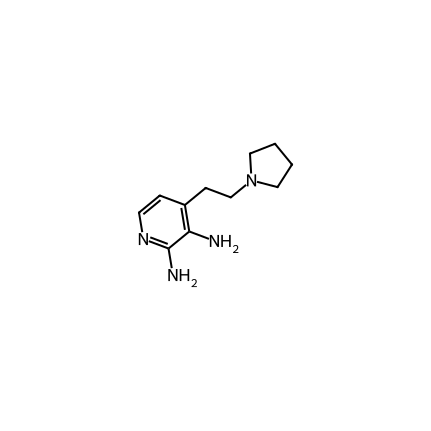 Nc1nccc(CCN2CCCC2)c1N